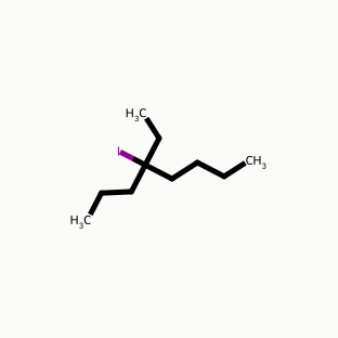 CCCCC(I)(CC)CCC